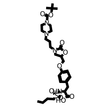 CCCCS(=O)(=O)NC(Cc1ccc(OCC2CN(CCCN3CCN(C(=O)OC(C)(C)C)CC3)C(=O)O2)cc1)C(=O)O